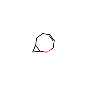 C1=CCOC2CC2CC1